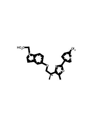 Cc1oc(-c2ccc(C(F)(F)F)cc2)nc1[C@@H](C)COc1ccc2c(ccn2CC(=O)O)c1